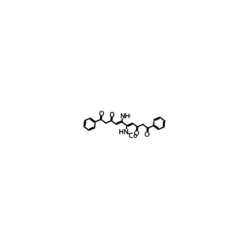 [NH]C(=CC(=O)CC(=O)c1ccccc1)C(=CC(=O)CC(=O)c1ccccc1)[NH][Co]